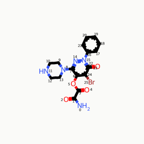 NC(=O)C(=O)Oc1c(N2CCNCC2)nn(-c2ccccc2)c(=O)c1Br